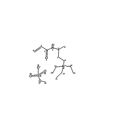 C=CC(=O)NC(C)CC[N+](CC)(CC)CC.COS(=O)(=O)[O-]